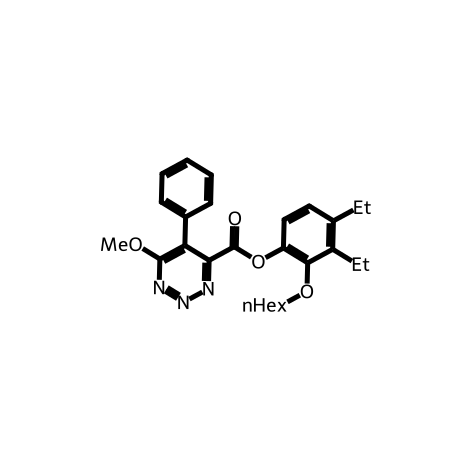 CCCCCCOc1c(OC(=O)c2nnnc(OC)c2-c2ccccc2)ccc(CC)c1CC